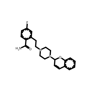 NC(=O)c1ccc(F)cc1CCN1CCN(C2C=Cc3ccccc3O2)CC1